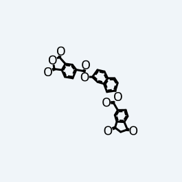 O=C(Oc1ccc2ccc(OC(=O)c3ccc4c(c3)C(=O)OC4=O)cc2c1)c1ccc2c(c1)C(=O)CC2=O